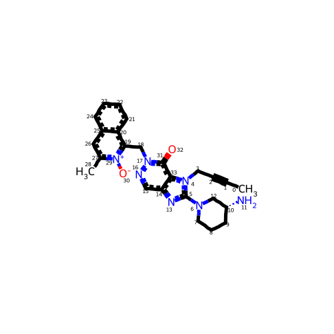 CC#CCn1c(N2CCC[C@@H](N)C2)nc2cnn(Cc3c4ccccc4cc(C)[n+]3[O-])c(=O)c21